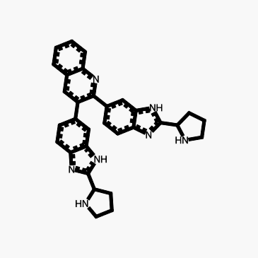 c1ccc2nc(-c3ccc4nc(C5CCCN5)[nH]c4c3)c(-c3ccc4nc(C5CCCN5)[nH]c4c3)cc2c1